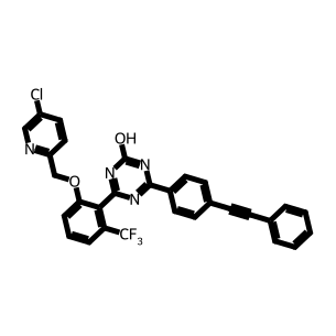 Oc1nc(-c2ccc(C#Cc3ccccc3)cc2)nc(-c2c(OCc3ccc(Cl)cn3)cccc2C(F)(F)F)n1